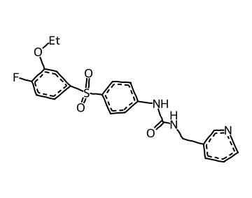 CCOc1cc(S(=O)(=O)c2ccc(NC(=O)NCc3cccnc3)cc2)ccc1F